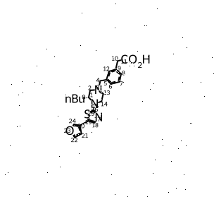 CCCC[C@@H]1CN(Cc2cccc(CC(=O)O)c2)CCN1c1ncc(-c2ccoc2)s1